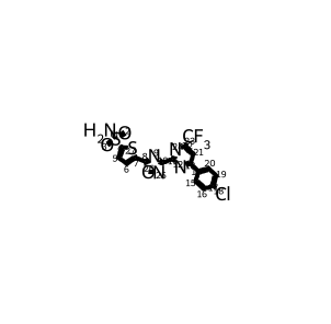 NS(=O)(=O)c1ccc(-c2nc(-c3nc(-c4ccc(Cl)cc4)cc(C(F)(F)F)n3)no2)s1